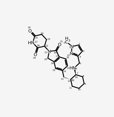 Cn1ccc(CN[C@H]2CCCC[C@@H]2Cc2ccc3c(c2)CN(C2CCC(=O)NC2=O)C3=O)n1